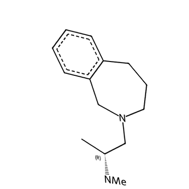 CN[C@H](C)CN1CCCc2ccccc2C1